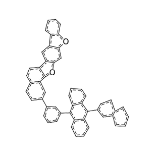 c1cc(-c2ccc3ccc4c5cc6c(cc5oc4c3c2)oc2ccccc26)cc(-c2c3ccccc3c(-c3ccc4ccccc4c3)c3ccccc23)c1